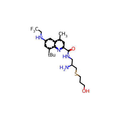 Cc1cc(C(=O)NCC(N)CSCCCO)nc2c(C(C)(C)C)cc(NCC(F)(F)F)cc12